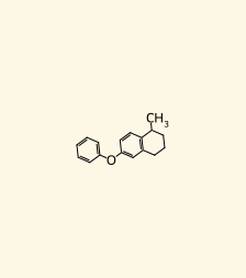 CC1CCCc2cc(Oc3ccccc3)ccc21